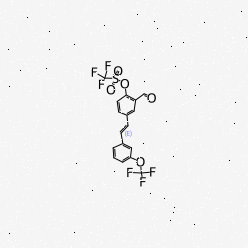 O=Cc1cc(/C=C/c2cccc(OC(F)(F)F)c2)ccc1OS(=O)(=O)C(F)(F)F